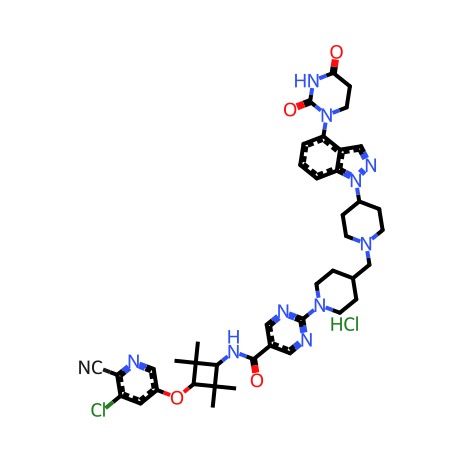 CC1(C)C(NC(=O)c2cnc(N3CCC(CN4CCC(n5ncc6c(N7CCC(=O)NC7=O)cccc65)CC4)CC3)nc2)C(C)(C)C1Oc1cnc(C#N)c(Cl)c1.Cl